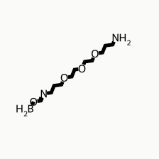 BOC=NCCCOCCOCCOCCCN